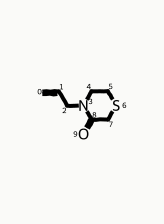 C=CCN1CCSCC1=O